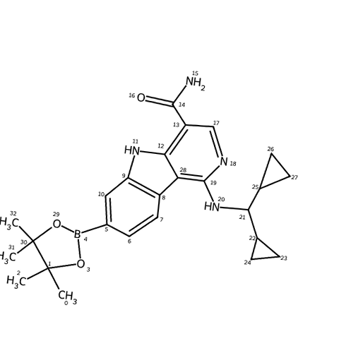 CC1(C)OB(c2ccc3c(c2)[nH]c2c(C(N)=O)cnc(NC(C4CC4)C4CC4)c23)OC1(C)C